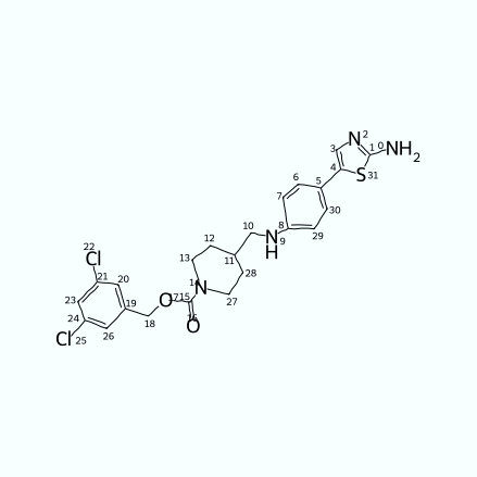 Nc1ncc(-c2ccc(NCC3CCN(C(=O)OCc4cc(Cl)cc(Cl)c4)CC3)cc2)s1